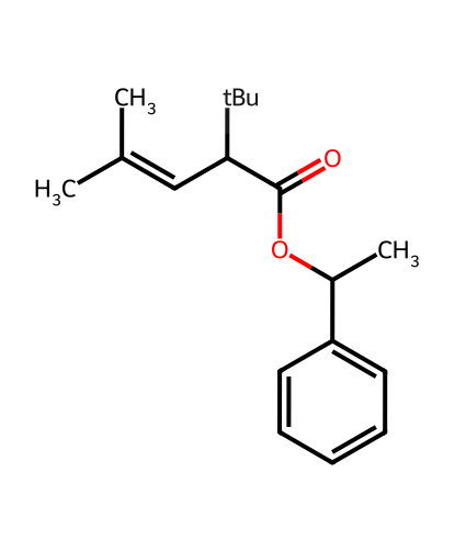 CC(C)=CC(C(=O)OC(C)c1ccccc1)C(C)(C)C